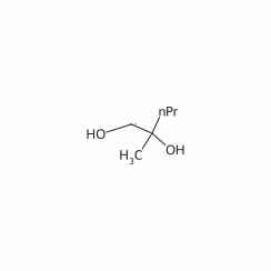 CCCC(C)(O)[CH]O